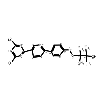 Cc1nc(C)nc(-c2ccc(-c3ccc(BOC(C)(C)C(C)(C)O)cc3)nc2)n1